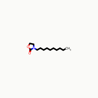 CCCCCCCCCCN1CCOC1=O